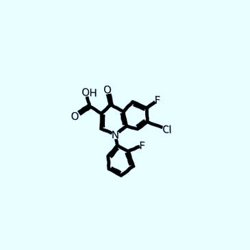 O=C(O)c1cn(-c2ccccc2F)c2cc(Cl)c(F)cc2c1=O